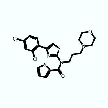 O=C(c1cccs1)N(CCCN1CCOCC1)c1nc(-c2ccc(Cl)cc2Cl)cs1